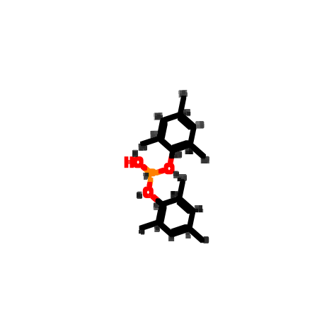 Cc1cc(C)c(OP(O)Oc2c(C)cc(C)cc2C)c(C)c1